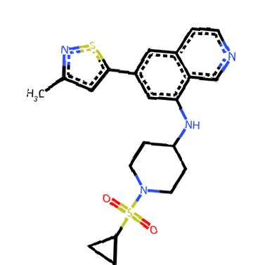 Cc1cc(-c2cc(NC3CCN(S(=O)(=O)C4CC4)CC3)c3cnccc3c2)sn1